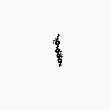 C=CCCOc1ccc(CCc2ccc(-c3ccc(C4CCC(OCC)CC4)c(F)c3F)cc2)cc1F